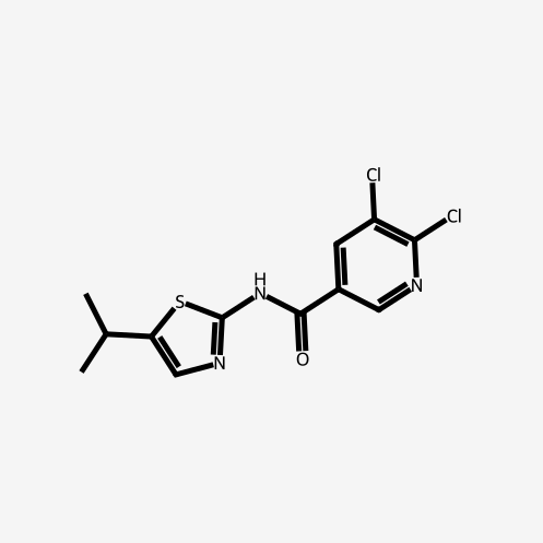 CC(C)c1cnc(NC(=O)c2cnc(Cl)c(Cl)c2)s1